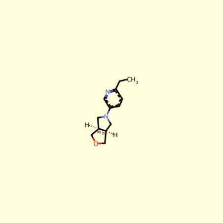 CCc1ccc(N2C[C@H]3COC[C@H]3C2)cn1